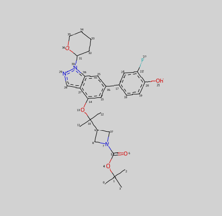 CC(C)(C)OC(=O)N1CC(C(C)(C)Oc2cc(-c3ccc(O)c(F)c3)cc3c2cnn3C2CCCCO2)C1